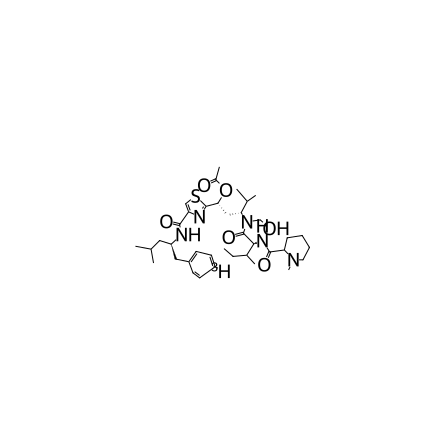 [3H]c1ccc(C[C@@H](CC(C)C)NC(=O)c2csc([C@@H](C[C@H](C(C)C)N(CO)C(=O)[C@@H](NC(=O)C3CCCCN3C)C(C)CC)OC(C)=O)n2)cc1